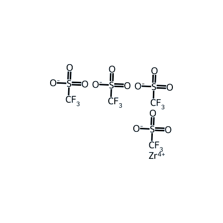 O=S(=O)([O-])C(F)(F)F.O=S(=O)([O-])C(F)(F)F.O=S(=O)([O-])C(F)(F)F.O=S(=O)([O-])C(F)(F)F.[Zr+4]